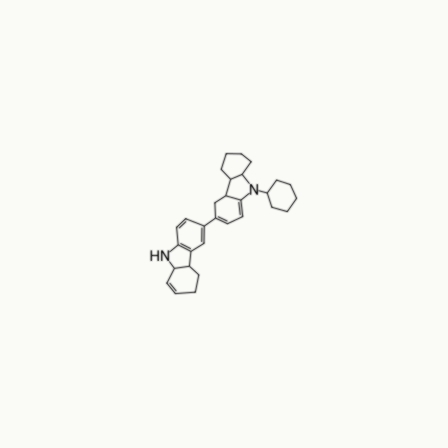 C1=CC2Nc3ccc(C4=CC=C5C(C4)C4CCCCC4N5C4CCCCC4)cc3C2CC1